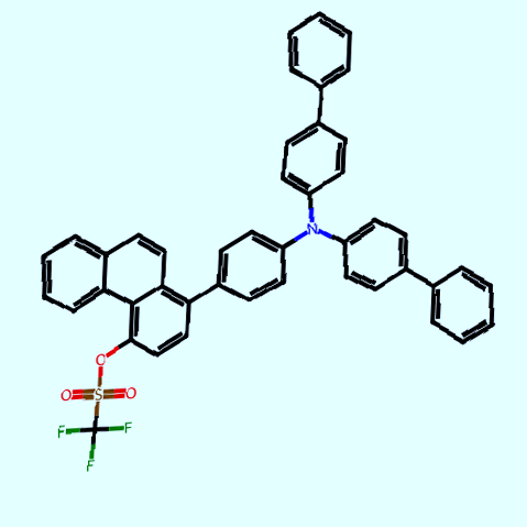 O=S(=O)(Oc1ccc(-c2ccc(N(c3ccc(-c4ccccc4)cc3)c3ccc(-c4ccccc4)cc3)cc2)c2ccc3ccccc3c12)C(F)(F)F